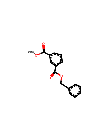 CCCCOC(=O)c1cccc(C(=O)OCc2ccccc2)c1